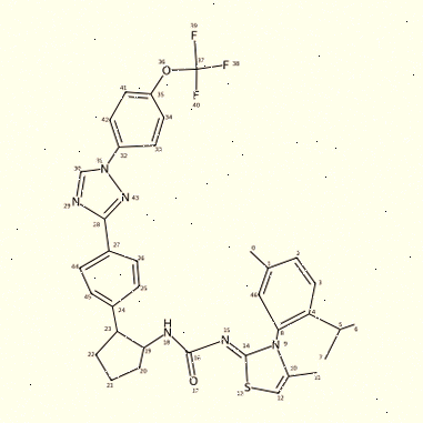 Cc1ccc(C(C)C)c(-n2c(C)cs/c2=N\C(=O)NC2CCCC2c2ccc(-c3ncn(-c4ccc(OC(F)(F)F)cc4)n3)cc2)c1